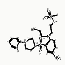 CS(=O)(=O)OCCN(CCBr)c1ccc([N+](=O)[O-])cc1S(=O)(=O)N1CCN(c2ccccn2)CC1